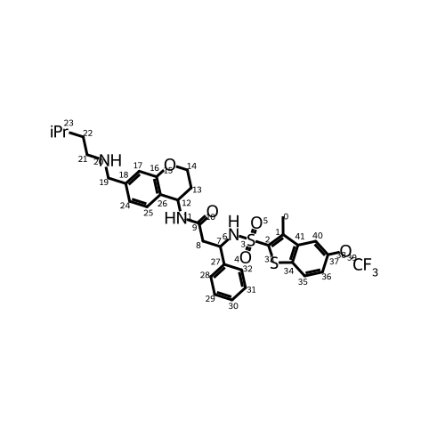 Cc1c(S(=O)(=O)NC(CC(=O)NC2CCOc3cc(CNCCC(C)C)ccc32)c2ccccc2)sc2ccc(OC(F)(F)F)cc12